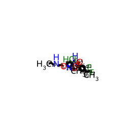 CCCNCCOc1ccc(NS(=O)(=O)c2ccc([C@@H](C)C(F)F)cc2)c(OC)n1.Cl